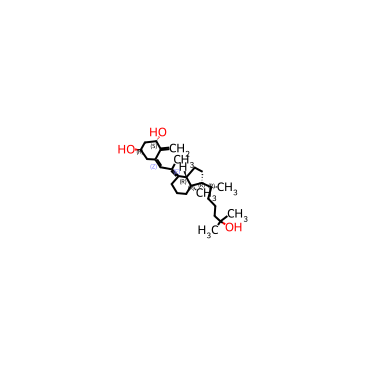 C=C1/C(=C\C(C)=C2/CCC[C@]3(C)[C@@H]([C@H](C)CCCC(C)(C)O)CC[C@@H]23)C[C@@H](O)C[C@@H]1O